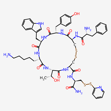 C[C@@H](O)[C@@H]1NC(=O)[C@H](CCCCCN)NC(=O)[C@@H](Cc2c[nH]c3ccccc23)NC(=O)[C@H](Cc2ccc(O)cc2)NC(=O)[C@@H](NC(=O)[C@H](N)Cc2ccccc2)CSSC[C@@H](C(=O)N[C@@H](CSSc2ccccn2)C(N)=O)NC1=O